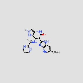 COc1cnc2nc(-c3c(N[C@@H](C)c4ncccn4)c4nn(C)cc4[nH]c3=O)[nH]c2c1